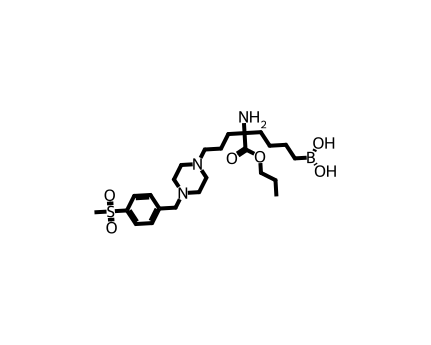 CCCOC(=O)C(N)(CCCCB(O)O)CCCN1CCN(Cc2ccc(S(C)(=O)=O)cc2)CC1